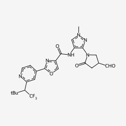 Cn1cc(NC(=O)c2coc(-c3ccnc(C(C(C)(C)C)C(F)(F)F)c3)n2)c(N2CC(C=O)CC2=O)n1